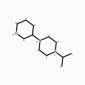 CC(C)N1CCN(C2CCCOC2)CC1